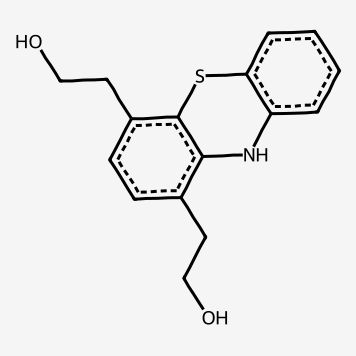 OCCc1ccc(CCO)c2c1Nc1ccccc1S2